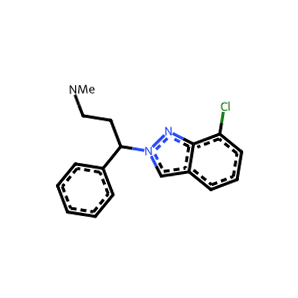 CNCCC(c1ccccc1)n1cc2cccc(Cl)c2n1